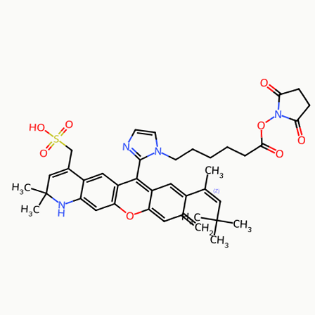 C=c1cc2c(cc1/C(C)=C\C(C)(C)C)=C(c1nccn1CCCCCC(=O)ON1C(=O)CCC1=O)c1cc3c(cc1O2)NC(C)(C)C=C3CS(=O)(=O)O